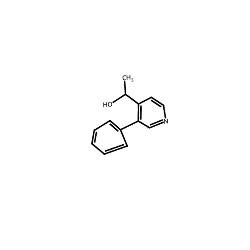 CC(O)c1ccn[c]c1-c1ccccc1